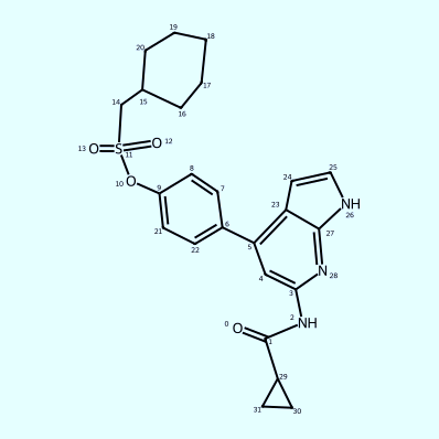 O=C(Nc1cc(-c2ccc(OS(=O)(=O)CC3CCCCC3)cc2)c2cc[nH]c2n1)C1CC1